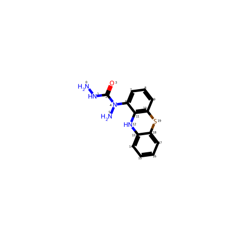 NNC(=O)N(N)c1cccc2c1Nc1ccccc1S2